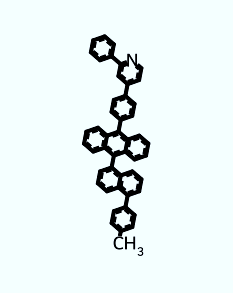 Cc1ccc(-c2cccc3c(-c4c5ccccc5c(-c5ccc(-c6ccnc(-c7ccccc7)c6)cc5)c5ccccc45)cccc23)cc1